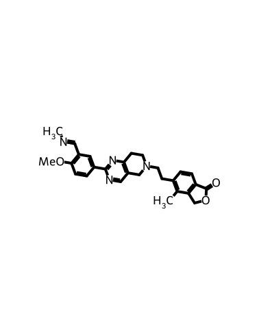 C/N=C/c1cc(-c2ncc3c(n2)CCN(CCc2ccc4c(c2C)COC4=O)C3)ccc1OC